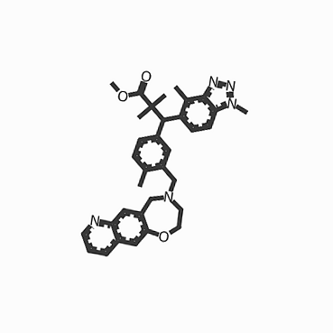 COC(=O)C(C)(C)C(c1ccc(C)c(CN2CCOc3cc4cccnc4cc3C2)c1)c1ccc2c(nnn2C)c1C